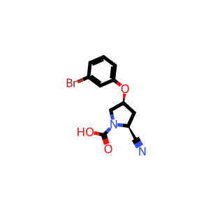 N#C[C@@H]1C[C@H](Oc2cccc(Br)c2)CN1C(=O)O